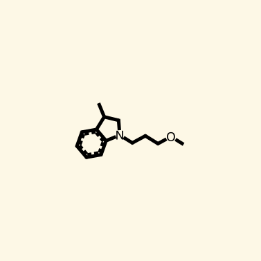 COCCCN1CC(C)c2ccccc21